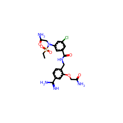 CCS(=O)(=O)N(CC(N)=O)c1cc(Cl)cc(C(=O)NCc2ccc(C(=N)N)cc2OCC(N)=O)c1